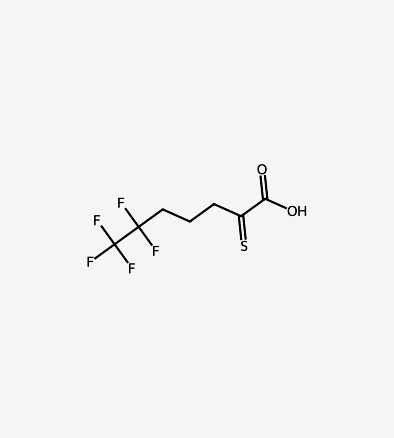 O=C(O)C(=S)CCCC(F)(F)C(F)(F)F